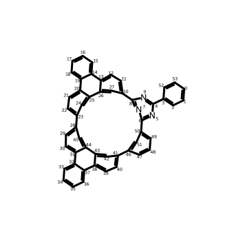 c1ccc(-c2nc3nc(n2)c2ccc4c5ccccc5c5ccc(cc5c4c2)c2ccc4c5ccccc5c5ccc(cc5c4c2)c2cccc3c2)cc1